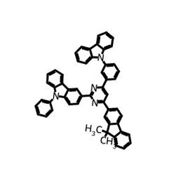 CC1(C)c2ccccc2-c2ccc(-c3cc(-c4cccc(-n5c6ccccc6c6ccccc65)c4)nc(-c4ccc5c(c4)c4ccccc4n5-c4ccccc4)n3)cc21